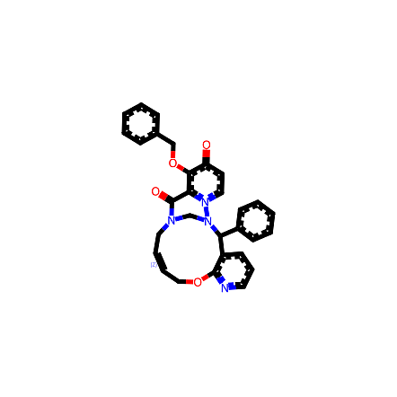 O=C1c2c(OCc3ccccc3)c(=O)ccn2N2CN1C/C=C\COc1ncccc1C2c1ccccc1